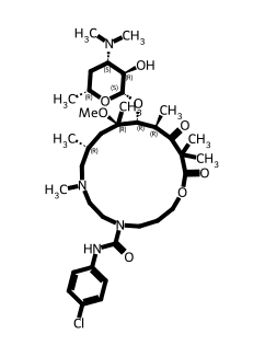 CO[C@]1(C)C[C@@H](C)CN(C)CCN(C(=O)Nc2ccc(Cl)cc2)CCCOC(=O)C(C)(C)C(=O)[C@H](C)[C@H]1O[C@@H]1O[C@H](C)C[C@H](N(C)C)[C@H]1O